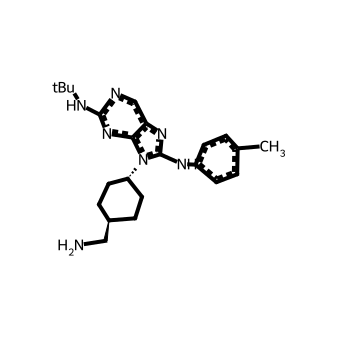 Cc1ccc(Nc2nc3cnc(NC(C)(C)C)nc3n2[C@H]2CC[C@H](CN)CC2)cc1